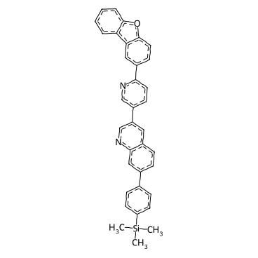 C[Si](C)(C)c1ccc(-c2ccc3cc(-c4ccc(-c5ccc6oc7ccccc7c6c5)nc4)cnc3c2)cc1